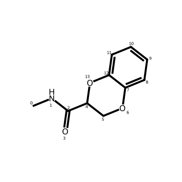 CNC(=O)C1COc2ccccc2O1